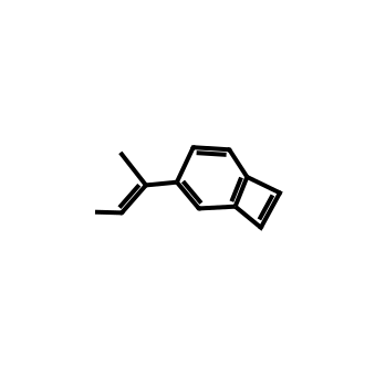 CC=C(C)c1ccc2c(c1)C=C2